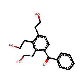 O=C(c1ccccc1)c1ccc(CCO)c(CCO)c1CCO